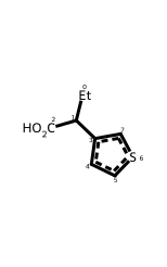 CCC(C(=O)O)c1ccsc1